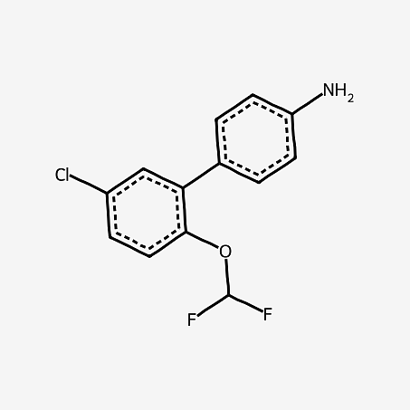 Nc1ccc(-c2cc(Cl)ccc2OC(F)F)cc1